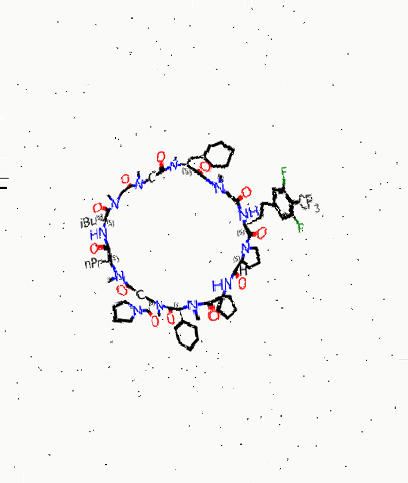 CCC[C@H]1C(=O)N[C@@H]([C@@H](C)CC)C(=O)N(C)CC(=O)N(C)CC(=O)N(C)[C@@H](CC2CCCCC2)C(=O)N(C)CC(=O)N[C@@H](CCc2cc(F)c(C(F)(F)F)c(F)c2)C(=O)N2CCC[C@H]2C(=O)NC2(CCCC2)C(=O)N(C)[C@@H](C2CCCCC2)C(=O)N(C)[C@H](C(=O)N2CCCC2)CC(=O)N1C